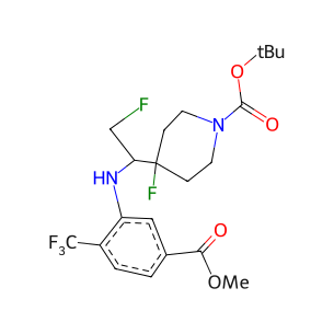 COC(=O)c1ccc(C(F)(F)F)c(NC(CF)C2(F)CCN(C(=O)OC(C)(C)C)CC2)c1